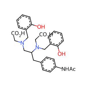 CC(=O)Nc1ccc(CC(CN(CC(=O)O)Cc2ccccc2O)N(CC(=O)O)Cc2ccccc2O)cc1